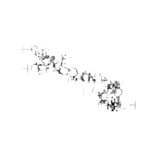 CCc1c2c(nc3ccc(OC(=O)N4CCC(N5CCC(CCn6ccc7ccc(-n8c(O)nnc8-c8cc(C(C)C)c(O)cc8O)cc76)CC5)CC4)cc13)-c1cc(C(C)(O)CC)c(COC=O)c(=O)n1C2